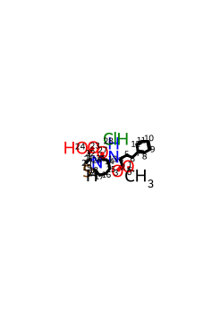 COC(=O)C(CCc1ccccc1)N[C@H]1CCC[C@H]2SC[C@@H](C(=O)O)N2C1=O.Cl